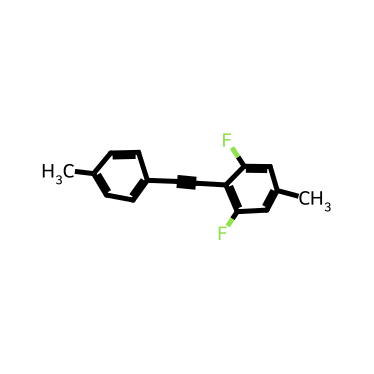 Cc1ccc(C#Cc2c(F)cc(C)cc2F)cc1